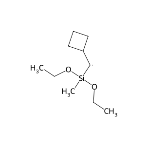 CCO[Si](C)([CH]C1CCC1)OCC